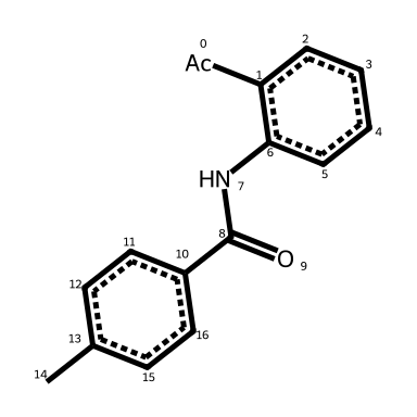 CC(=O)c1ccccc1NC(=O)c1ccc(C)cc1